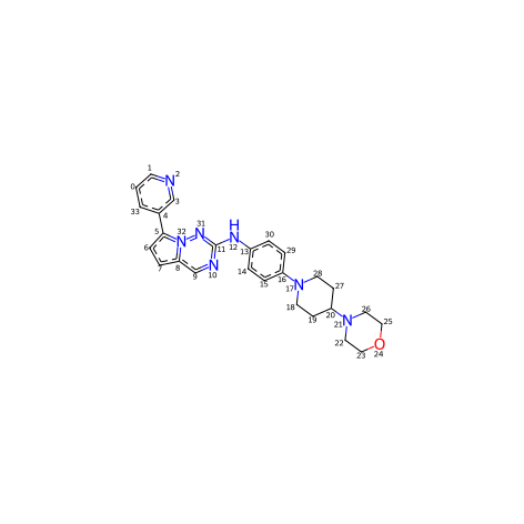 c1cncc(-c2ccc3cnc(Nc4ccc(N5CCC(N6CCOCC6)CC5)cc4)nn23)c1